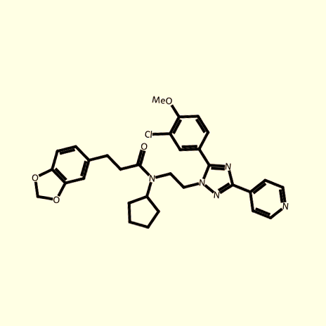 COc1ccc(-c2nc(-c3ccncc3)nn2CCN(C(=O)CCc2ccc3c(c2)OCO3)C2CCCC2)cc1Cl